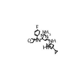 Nc1nc(Nc2cc(C3CC3)[nH]n2)cc(NC(c2ccc(F)cc2)C2CCOC2)n1